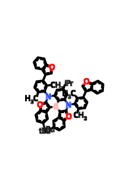 Cc1ccc(-c2coc3ccccc23)c(C)c1N1c2cc(C(C)C)cc3c2B(c2c1oc1ccc(C(C)(C)C)cc21)c1c(oc2ccc(C(C)(C)C)cc12)N3c1c(C)ccc(-c2coc3ccccc23)c1C